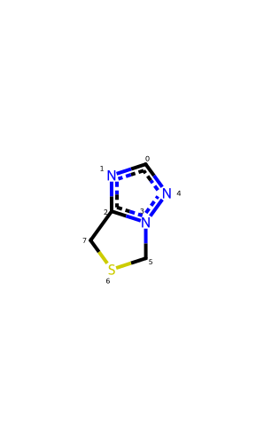 c1nc2n(n1)CSC2